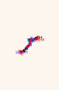 CCC1(C(=O)O)CCN(c2ccc(-c3nc(-c4cnn(C5CCC(N6CCC(c7ccc(N[C@@H]8CCC(=O)NC8=O)cc7F)CC6)CC5)c4)cn4ncc(C#N)c34)cn2)CC1